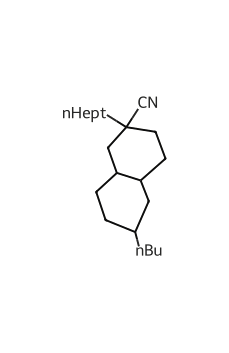 CCCCCCCC1(C#N)CCC2CC(CCCC)CCC2C1